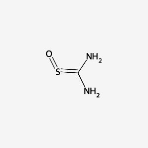 NC(N)=S=O